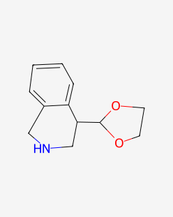 c1ccc2c(c1)CNCC2C1OCCO1